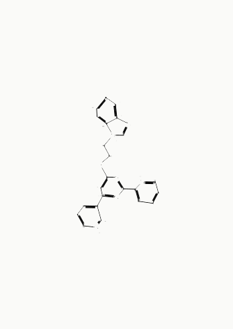 c1ccc(-c2nc(NCCn3cnc4ccccc43)cc(-c3cccnc3)n2)nc1